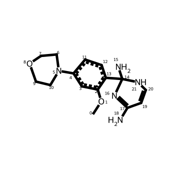 COc1cc(N2CCOCC2)ccc1C1(N)N=C(N)C=CN1